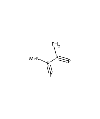 CNP(#P)P(#P)P